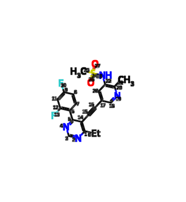 CCc1ncnc(-c2ccc(F)cc2F)c1C#Cc1cnc(C)c(NS(C)(=O)=O)c1